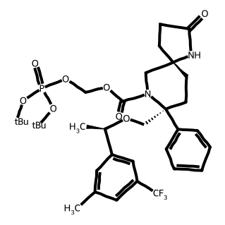 Cc1cc([C@@H](C)OC[C@@]2(c3ccccc3)CC[C@]3(CCC(=O)N3)CN2C(=O)OCOP(=O)(OC(C)(C)C)OC(C)(C)C)cc(C(F)(F)F)c1